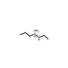 CCC[SiH2]NCC.N